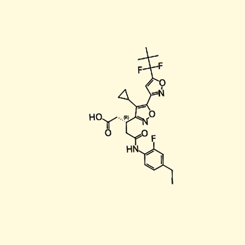 CC(C)(C)C(F)(F)c1cc(-c2onc([C@@H](CC(=O)O)CC(=O)Nc3ccc(CI)cc3F)c2C2CC2)no1